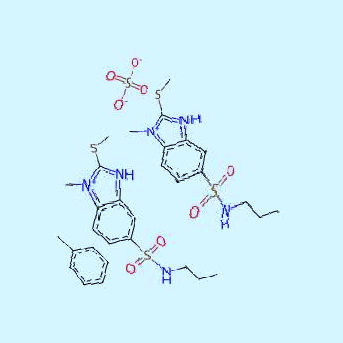 CCCNS(=O)(=O)c1ccc2c(c1)[nH]c(SC)[n+]2C.CCCNS(=O)(=O)c1ccc2c(c1)[nH]c(SC)[n+]2C.Cc1ccccc1.O=S(=O)([O-])[O-]